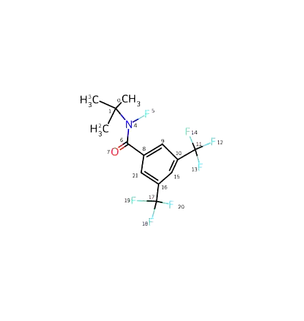 CC(C)(C)N(F)C(=O)c1cc(C(F)(F)F)cc(C(F)(F)F)c1